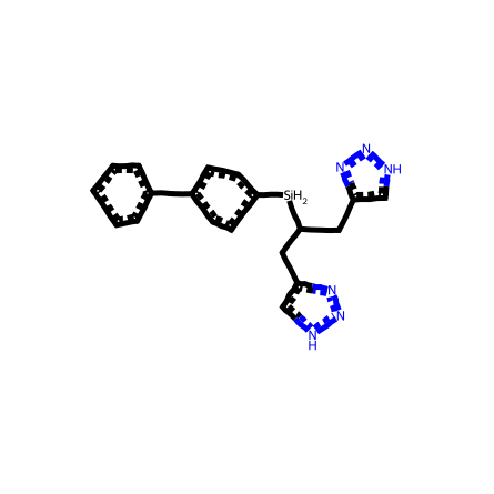 c1ccc(-c2ccc([SiH2]C(Cc3c[nH]nn3)Cc3c[nH]nn3)cc2)cc1